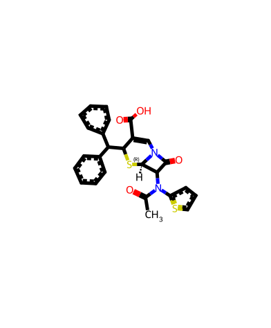 CC(=O)N(c1cccs1)C1C(=O)N2C=C(C(=O)O)C(C(c3ccccc3)c3ccccc3)S[C@H]12